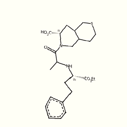 CCOC(=O)[C@H](CCc1ccccc1)NC(C)C(=O)N1CC2CCSCC2C[C@H]1C(=O)O